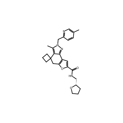 Cc1ccc(Cn2nc3c(c2C)C2(CCC2)Cc2oc(C(=O)NC[C@@H]4CCCO4)cc2-3)nc1